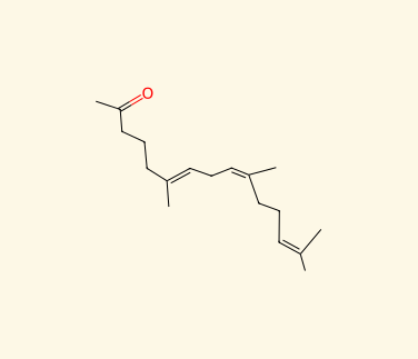 CC(=O)CCCC(C)=CCC=C(C)CCC=C(C)C